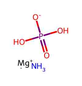 N.O=P([O-])(O)O.[Mg+]